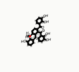 NCc1ccc(C(=O)c2cccc(O)c2O)c(C(=O)c2cccc(O)c2O)c1C(=O)c1cccc(O)c1O